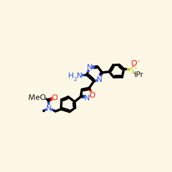 COC(=O)N(C)Cc1ccc(-c2cc(-c3nc(-c4ccc([S+]([O-])C(C)C)cc4)cnc3N)on2)cc1